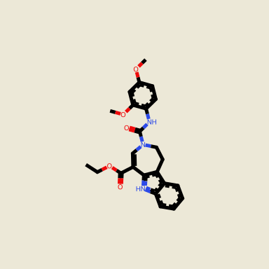 CCOC(=O)C1=CN(C(=O)Nc2ccc(OC)cc2OC)CCc2c1[nH]c1ccccc21